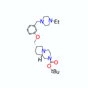 CCN1CCN(Cc2cccc(OC[C@H]3CC[C@H]4CN(C(=O)OC(C)(C)C)CCN4C3)c2)CC1